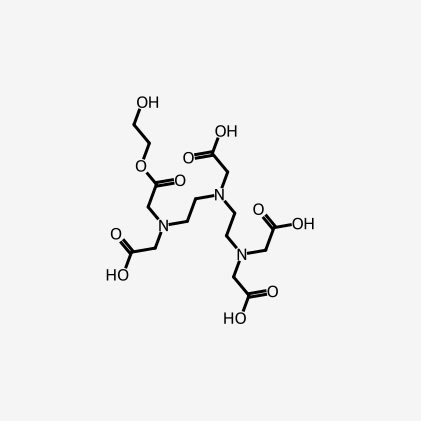 O=C(O)CN(CCN(CC(=O)O)CC(=O)O)CCN(CC(=O)O)CC(=O)OCCO